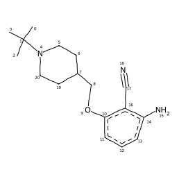 CC(C)(C)N1CCC(COc2cccc(N)c2C#N)CC1